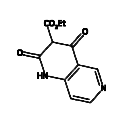 CCOC(=O)C1C(=O)Nc2ccncc2C1=O